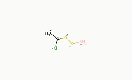 BSSC(C)Cl